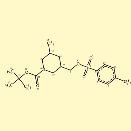 Cc1ccc(S(=O)(=O)OCC2CC(C)CN(C(=O)OC(C)(C)C)C2)cc1